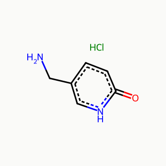 Cl.NCc1ccc(=O)[nH]c1